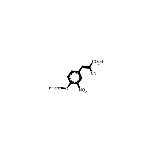 CCCCCCCOc1ccc(/C=C(\C#N)C(=O)OCC)cc1[N+](=O)[O-]